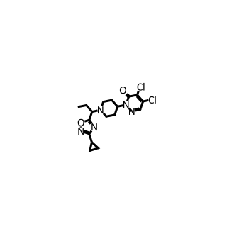 CCC(c1nc(C2CC2)no1)N1CCC(n2ncc(Cl)c(Cl)c2=O)CC1